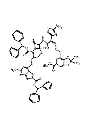 Cc1cc(SCC2=C(C(=O)OC(c3ccccc3)c3ccccc3)N3C(=O)[C@@H](NC(=O)/C(=N\OCc4cc(C(=O)OC(C)(C)C)cc5c4OC(C)(C)O5)c4csc(N)n4)[C@H]3SC2)n2nc(C(=O)OC(c3ccccc3)c3ccccc3)nc2n1